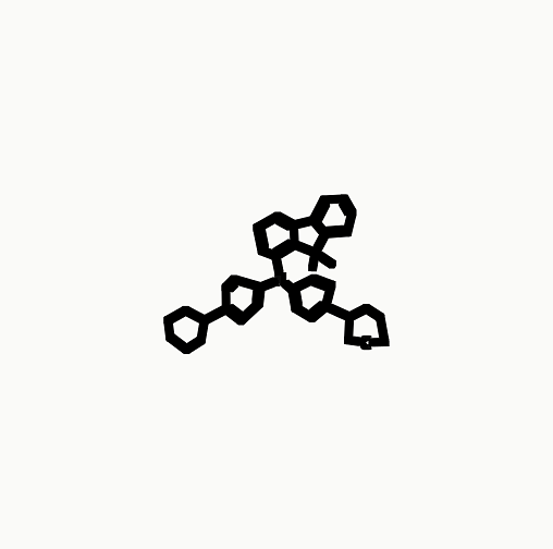 CC1(C)c2ccccc2-c2cccc(N(c3ccc(C4CCCCC4)cc3)c3ccc(C4CCCCC4)cc3)c21